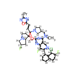 CC(C)c1noc(/C=C/C(=O)N2CCC(/C=[N+](/C)c3nc(OC[C@@]45CCCN4C[C@H](F)C5)nc4c(F)c(-c5cccc6ccc(F)c(Cl)c56)ncc34)C2)n1